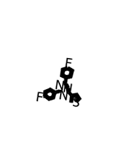 Fc1ccc(-c2nc(-c3ccc(F)cc3)nc(-c3ccsc3)n2)cc1